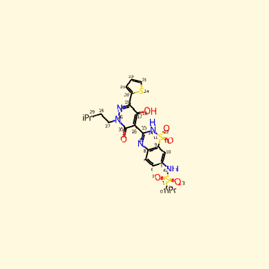 CCCS(=O)(=O)Nc1ccc2c(c1)S(=O)(=O)NC(c1c(O)c(-c3cccs3)nn(CCC(C)C)c1=O)=N2